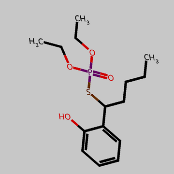 CCCCC(SP(=O)(OCC)OCC)c1ccccc1O